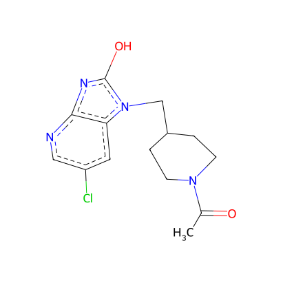 CC(=O)N1CCC(Cn2c(O)nc3ncc(Cl)cc32)CC1